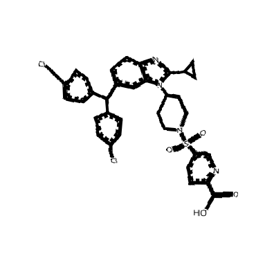 O=C(O)c1ccc(S(=O)(=O)N2CCC(n3c(C4CC4)nc4ccc(C(c5ccc(Cl)cc5)c5ccc(Cl)cc5)cc43)CC2)cn1